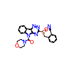 N#Cc1ccccc1C[S+]([O-])c1nnc2c3ccccc3n(C(=O)N3CCOCC3)c2n1